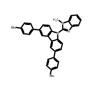 Cn1c(-n2c3ccc(-c4ccc(C(C)(C)C)cc4)cc3c3cc(-c4ccc(C(C)(C)C)cc4)ccc32)nc2ccccc21